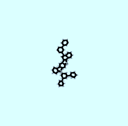 c1ccc(-c2cccc(-c3cc4c5cc6c7ccccc7n(-c7cc(-c8ccccc8)cc(-c8ccccc8)c7)c6cc5sc4c4ccccc34)c2)cc1